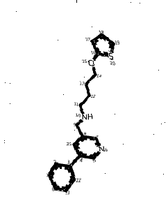 c1ccc(-c2cncc(CNCCCCOc3cccs3)c2)cc1